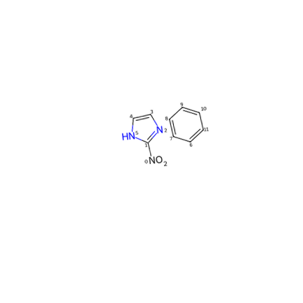 O=[N+]([O-])c1ncc[nH]1.c1ccccc1